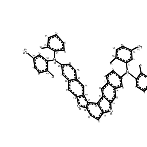 Cc1ccccc1N(c1ccc2cc3c(cc2c1)oc1ccc2oc4cc5cc(N(c6ccccc6C)c6cc(C(C)C)ccc6C)ccc5cc4c2c13)c1cc(C(C)C)ccc1C